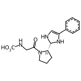 O=C(O)NCC(=O)N1CCC[C@H]1C1NC=C(c2ccccc2)N1